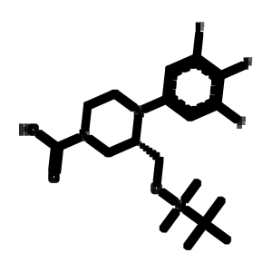 CC(C)(C)[Si](C)(C)OC[C@@H]1CN(C(=O)O)CCN1c1cc(F)c(F)c(F)c1